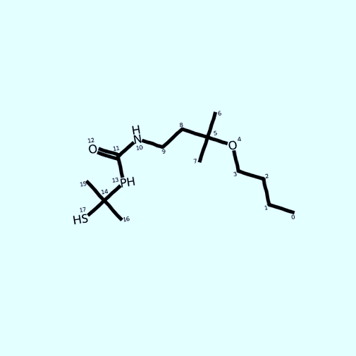 CCCCOC(C)(C)CCNC(=O)PC(C)(C)S